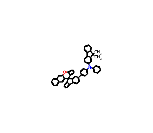 CC1(C)c2ccccc2-c2ccc(N(c3ccccc3)c3ccc(-c4ccc5c(c4)C4(c6ccccc6Oc6cc7ccccc7cc64)c4ccccc4-5)cc3)cc21